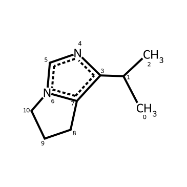 CC(C)c1ncn2c1CCC2